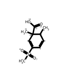 CC1C=CC(S(C)(=O)=O)=CC1(C)C(=O)O